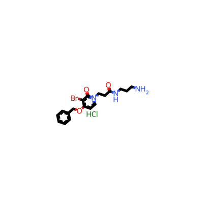 Cl.NCCCNC(=O)CCn1ccc(OCc2ccccc2)c(Br)c1=O